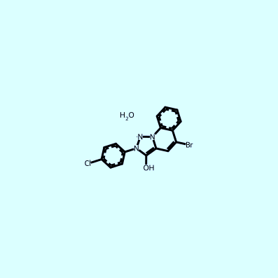 O.OC1=C2C=C(Br)c3ccccc3N2[N]N1c1ccc(Cl)cc1